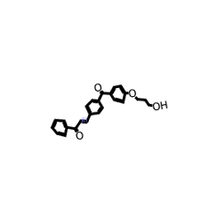 O=C(/C=C/c1ccc(C(=O)c2ccc(OCCCO)cc2)cc1)c1ccccc1